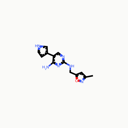 Cc1cc(CNc2ncc(-c3cc[nH]c3)c(N)n2)on1